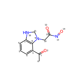 CC(=O)c1cccc2c1N(CC(=O)N=O)CN2